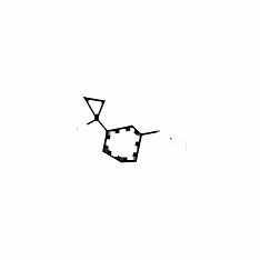 CC1(c2cccc(O[SiH3])c2)CC1